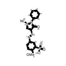 COc1ccc(N=Nc2cn(C#N)n(-c3ccccc3)c2=O)cc1S(=O)(=O)Cl